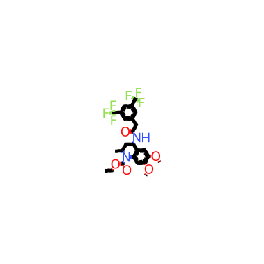 CCOC(=O)N1c2cc(OC)c(OC)cc2C(NC(=O)Cc2cc(C(F)(F)F)cc(C(F)(F)F)c2)CC1C